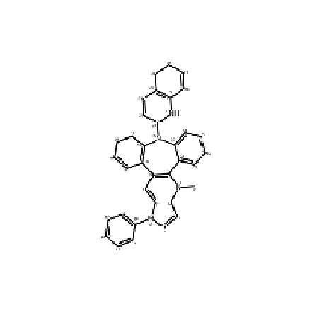 CN1C2=C(C=C3C1C=CN3c1ccccc1)C1=C(CCC=C1)N(C1C=CC3=C(C=CCC3)N1)c1ccccc12